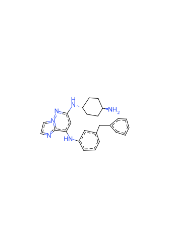 N[C@H]1CC[C@H](Nc2cc(Nc3cccc(Cc4ccccc4)c3)c3nccn3n2)CC1